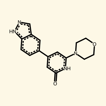 O=c1cc(-c2ccc3[nH]ncc3c2)cc(N2CCOCC2)[nH]1